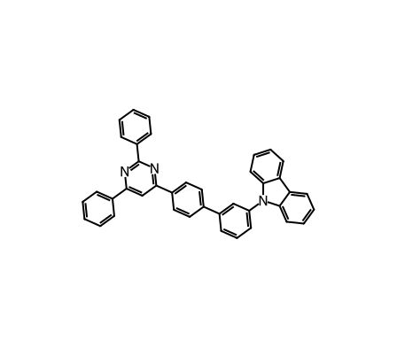 c1ccc(-c2cc(-c3ccc(-c4cccc(-n5c6ccccc6c6ccccc65)c4)cc3)nc(-c3ccccc3)n2)cc1